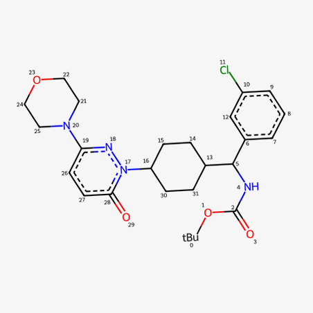 CC(C)(C)OC(=O)NC(c1cccc(Cl)c1)C1CCC(n2nc(N3CCOCC3)ccc2=O)CC1